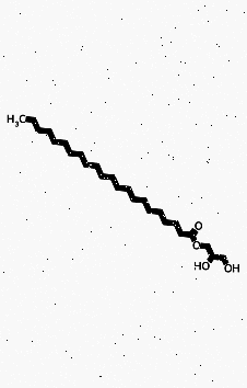 CCCCCCCCCCCCCCCCCCCCCC(=O)OCC(O)CO